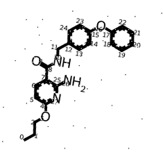 CCCOc1ccc(C(=O)NCc2ccc(Oc3ccccc3)cc2)c(N)n1